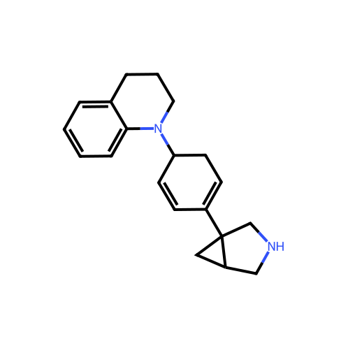 C1=CC(N2CCCc3ccccc32)CC=C1C12CNCC1C2